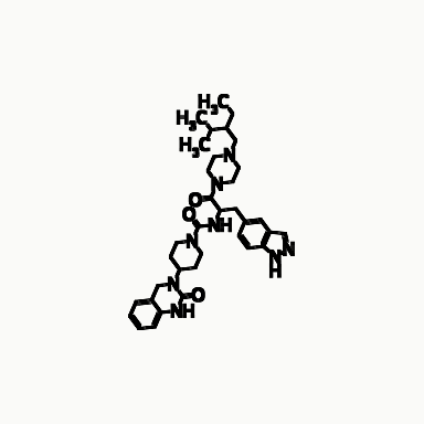 CCC(CN1CCN(C(=O)C(Cc2ccc3[nH]ncc3c2)NC(=O)N2CCC(N3Cc4ccccc4NC3=O)CC2)CC1)C(C)C